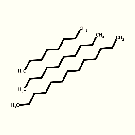 CCCCCCCC.CCCCCCCCCC.CCCCCCCCCCCCC